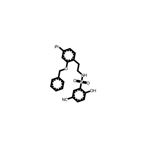 CC(C)c1ccc(CCNS(=O)(=O)c2cc(C#N)ccc2O)c(OCc2ccccc2)c1